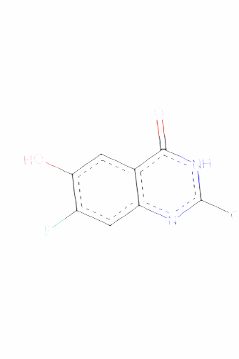 Cc1nc2cc(F)c(O)cc2c(=O)[nH]1